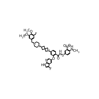 CNc1ccc(SNC(=O)c2ccc(N3CC4(CC(N5CCN(Cc6cc(F)c(OC)c(OC)c6)CC5)C4)C3)cc2Oc2cnc3[nH]cc(F)c3c2)cc1[N+](=O)[O-]